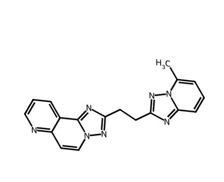 Cc1cccc2nc(CCc3nc4c5cccnc5ccn4n3)nn12